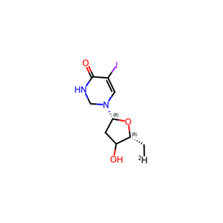 [2H]C[C@H]1O[C@@H](N2C=C(I)C(=O)NC2)CC1O